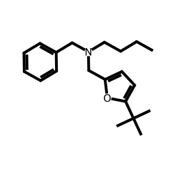 CCCCN(Cc1ccccc1)Cc1ccc(C(C)(C)C)o1